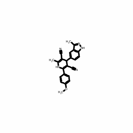 COc1ccc(C2=C(C#N)C(c3ccc4[nH]nc(C)c4c3)C(C#N)=C(C)N2)cc1